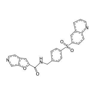 O=C(NCc1ccc(S(=O)(=O)c2ccc3ncccc3c2)cc1)c1cc2ccncc2o1